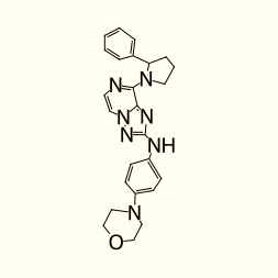 c1ccc(C2CCCN2c2nccn3nc(Nc4ccc(N5CCOCC5)cc4)nc23)cc1